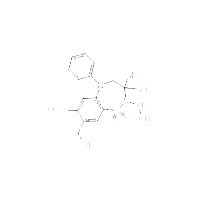 CCCCC1(CCCC)CN(c2ccccc2)c2cc(SC)c(CO)cc2S(=O)(=O)N1PC